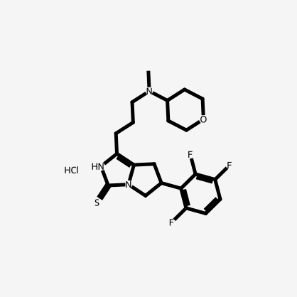 CN(CCCc1[nH]c(=S)n2c1CC(c1c(F)ccc(F)c1F)C2)C1CCOCC1.Cl